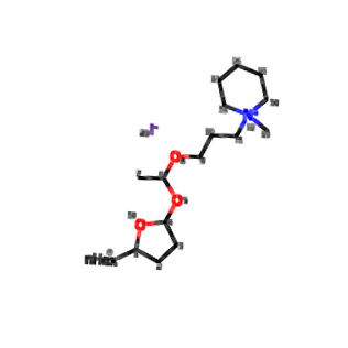 CCCCCCC1CCC(OC(C)OCCC[N+]2(C)CCCCC2)O1.[I-]